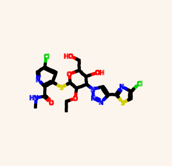 CCOC1C(Sc2cc(Cl)cnc2C(=O)NC)OC(CO)C(O)C1n1cc(-c2nc(Cl)cs2)nn1